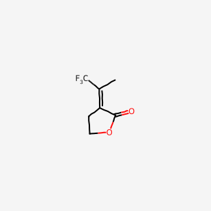 C/C(=C1/CCOC1=O)C(F)(F)F